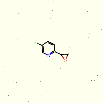 Fc1ccc(C2CO2)nc1